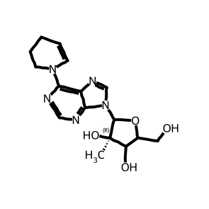 C[C@@]1(O)C(O)C(CO)OC1n1cnc2c(N3C=CCCC3)ncnc21